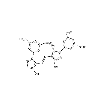 CC(C)(C)c1nn(-c2cc(C(=O)O)cc(C(=O)O)c2)c(N)c1/N=N/c1c(C#N)cnn1-c1cc(C(=O)O)cc(C(=O)O)c1